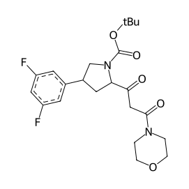 CC(C)(C)OC(=O)N1CC(c2cc(F)cc(F)c2)CC1C(=O)CC(=O)N1CCOCC1